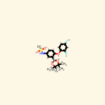 CCS(=O)(=O)Nc1ccc(Oc2ccc(F)cc2F)c(B2OC(C)(C)C(C)(C)O2)c1